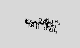 CC(C)Cc1nnc(CNC(=O)Cn2cnc3c2c(=O)n(C)c(=O)n3C)s1